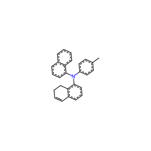 Cc1ccc(N(c2cccc3c2CCC=C3)c2cccc3ccccc23)cc1